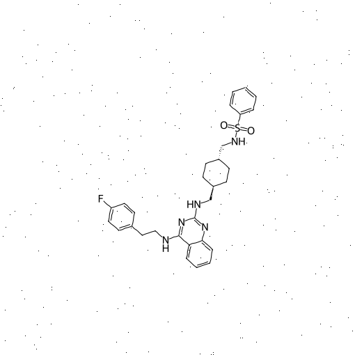 O=S(=O)(NC[C@H]1CC[C@H](CNc2nc(NCCc3ccc(F)cc3)c3ccccc3n2)CC1)c1ccccc1